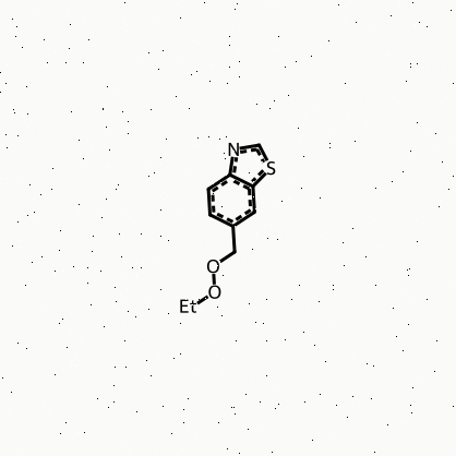 CCOOCc1ccc2ncsc2c1